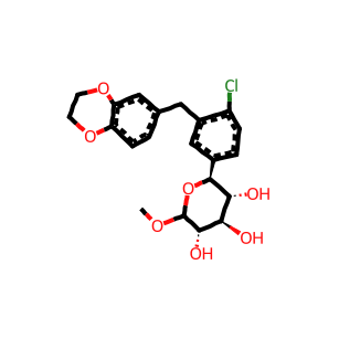 COC1O[C@@H](c2ccc(Cl)c(Cc3ccc4c(c3)OCCO4)c2)[C@H](O)[C@@H](O)[C@@H]1O